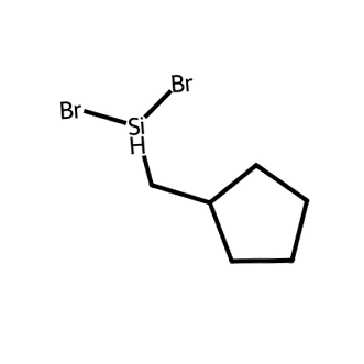 Br[SiH](Br)CC1CCCC1